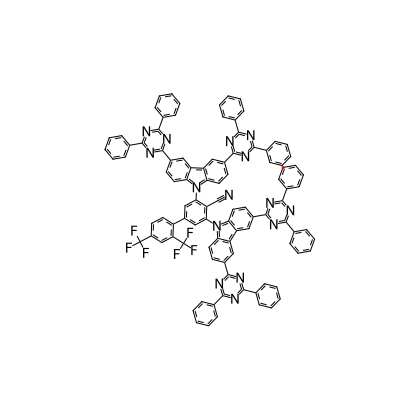 N#Cc1c(-n2c3ccc(-c4nc(-c5ccccc5)nc(-c5ccccc5)n4)cc3c3cc(-c4nc(-c5ccccc5)nc(-c5ccccc5)n4)ccc32)cc(-c2ccc(C(F)(F)F)cc2C(F)(F)F)cc1-n1c2ccc(-c3nc(-c4ccccc4)nc(-c4ccccc4)n3)cc2c2cc(-c3nc(-c4ccccc4)nc(-c4ccccc4)n3)ccc21